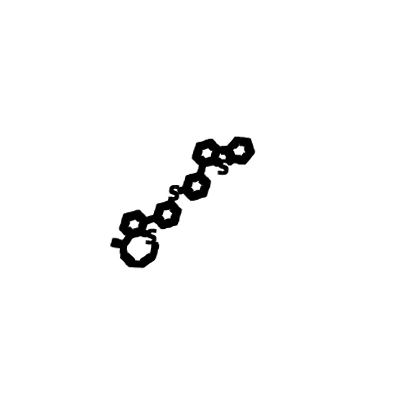 C=C1/C=C\C=C/CSc2c1cccc2-c1cccc(Sc2cccc(-c3cccc4c3sc3ccccc34)c2)c1